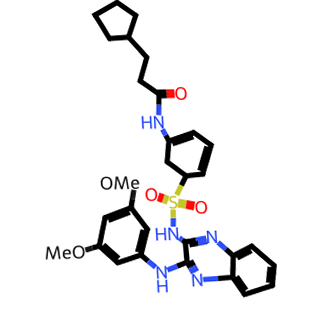 COc1cc(Nc2nc3ccccc3nc2NS(=O)(=O)C2C=CC=C(NC(=O)CCC3CCCC3)C2)cc(OC)c1